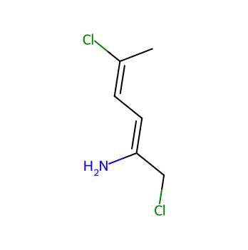 C/C(Cl)=C\C=C(/N)CCl